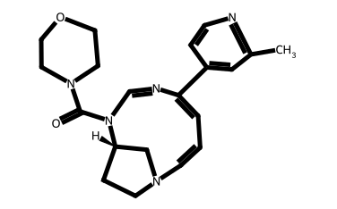 Cc1cc(C2=CC=CN3CC[C@@H](C3)N(C(=O)N3CCOCC3)C=N2)ccn1